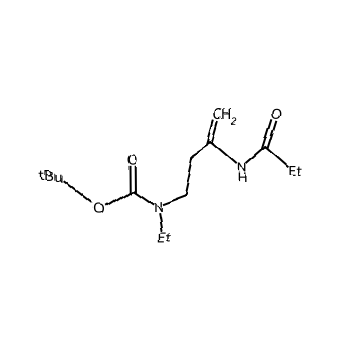 C=C(CCN(CC)C(=O)OC(C)(C)C)NC(=O)CC